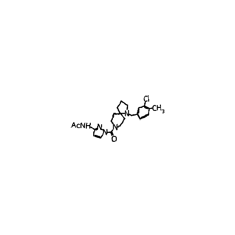 CC(=O)Nc1ccn(C(=O)N2CCC3(CCCN3Cc3ccc(C)c(Cl)c3)CC2)n1